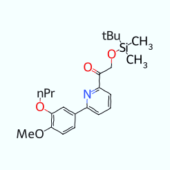 CCCOc1cc(-c2cccc(C(=O)CO[Si](C)(C)C(C)(C)C)n2)ccc1OC